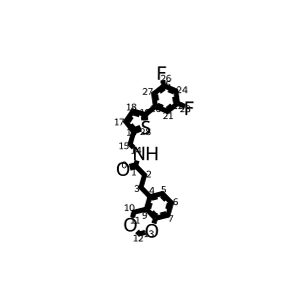 O=C(CCc1cccc2c1COCO2)NCc1ccc(-c2cc(F)cc(F)c2)s1